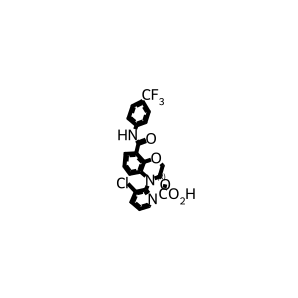 O=C(O)O[C@@H]1COc2c(C(=O)Nc3ccc(C(F)(F)F)cc3)cccc2N1c1ncccc1Cl